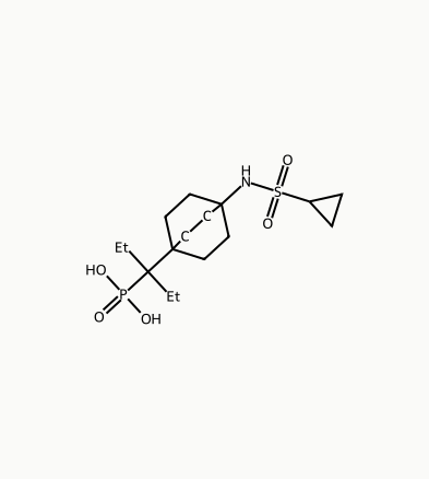 CCC(CC)(C12CCC(NS(=O)(=O)C3CC3)(CC1)CC2)P(=O)(O)O